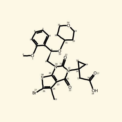 COc1ccccc1[C@H](Cn1c(=O)n(C2(CC(=O)O)CC2)c(=O)c2c(C)c(Br)sc21)OC1CCOCC1